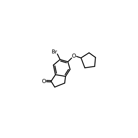 O=C1CCc2cc(OC3CCCC3)c(Br)cc21